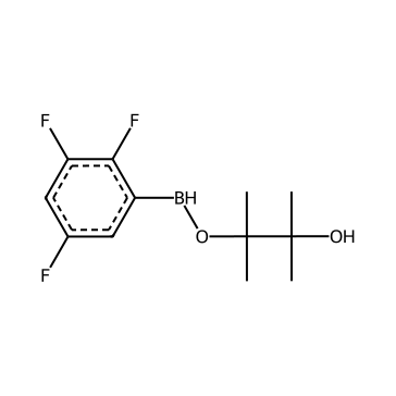 CC(C)(O)C(C)(C)OBc1cc(F)cc(F)c1F